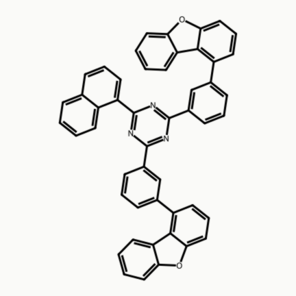 c1cc(-c2nc(-c3cccc(-c4cccc5oc6ccccc6c45)c3)nc(-c3cccc4ccccc34)n2)cc(-c2cccc3oc4ccccc4c23)c1